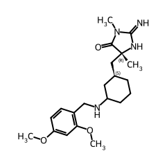 COc1ccc(CNC2CCC[C@H](C[C@@]3(C)NC(=N)N(C)C3=O)C2)c(OC)c1